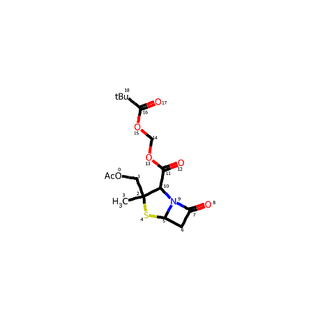 CC(=O)OCC1(C)SC2CC(=O)N2C1C(=O)OCOC(=O)C(C)(C)C